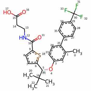 Cc1cc(O[C@@H](c2ccc(C(=O)NCCC(=O)O)s2)C(C)(C)C)ccc1-c1ccc(C(F)(F)F)cc1